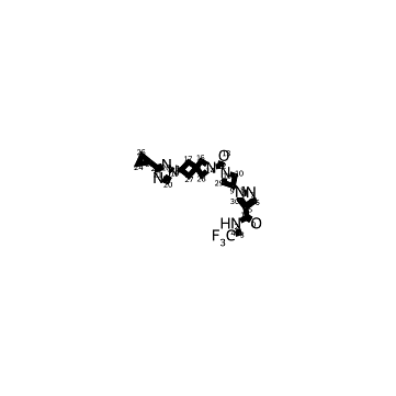 O=C(NCC(F)(F)F)c1cnn(C2CN(C(=O)N3CC4(CC(n5cnc(C6CC6)n5)C4)C3)C2)c1